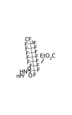 C=CC(=O)OCC.CCCNS(=O)(=O)C(F)(F)C(F)(F)C(F)(F)C(F)(F)C(F)(F)C(F)(F)C(F)(F)C(F)(F)F